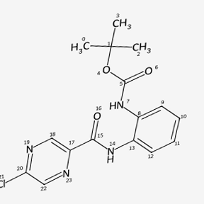 CC(C)(C)OC(=O)Nc1ccccc1NC(=O)c1cnc(Cl)cn1